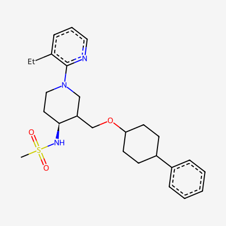 CCc1cccnc1N1CC[C@H](NS(C)(=O)=O)C(COC2CCC(c3ccccc3)CC2)C1